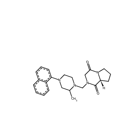 CC1CN(c2cccc3ccccc23)CCN1CN1CC(=O)N2CCC[C@@H]2C1=O